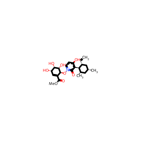 C=C[C@@H]1C[C@H](C)C[C@H](C)[C@H]1c1c(O)ccn(O[C@H]2C(C(=O)OC)=C[C@H](O)[C@H](O)[C@@H]2O)c1=O